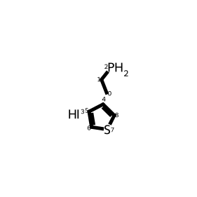 CCP.I.c1ccsc1